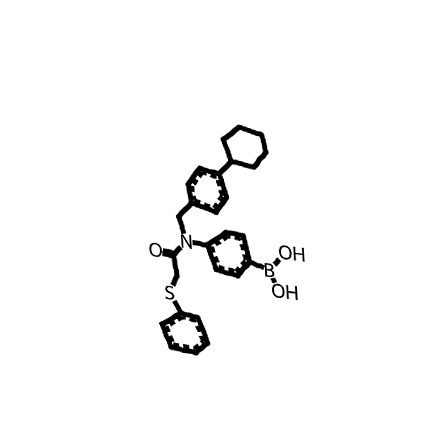 O=C(CSc1ccccc1)N(Cc1ccc(C2CCCCC2)cc1)c1ccc(B(O)O)cc1